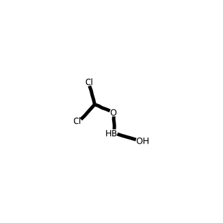 OBOC(Cl)Cl